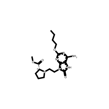 CCCCOc1nc(N)c2[nH]c(=O)n(CCN3CCC[C@@H]3C(=O)OC)c2n1